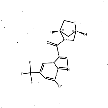 O=C(c1cnc2c(Br)cc(C(F)(F)F)cn12)N1C[C@@H]2C[C@H]1CO2